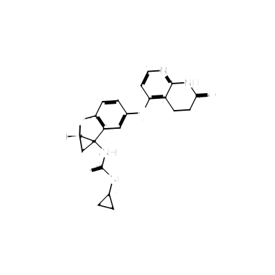 O=C1CCc2c(Oc3ccc4c(c3)C3(NC(=O)NC5CC5)C[C@@H]3O4)ccnc2N1